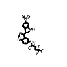 O=C(C=CC(F)(F)F)Nc1ccc2ncnc(C3CNc4cc([N+](=O)[O-])ccc43)c2c1